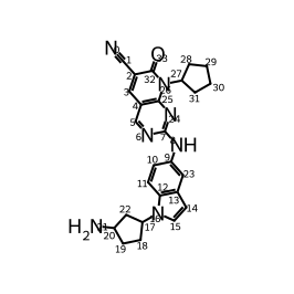 N#Cc1cc2cnc(Nc3ccc4c(ccn4C4CCC(N)C4)c3)nc2n(C2CCCC2)c1=O